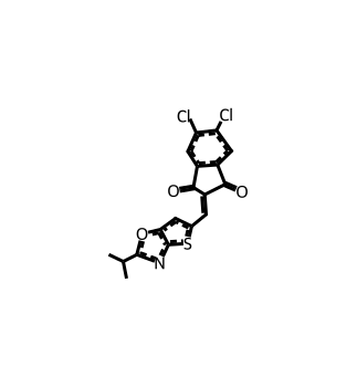 CC(C)c1nc2sc(C=C3C(=O)c4cc(Cl)c(Cl)cc4C3=O)cc2o1